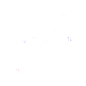 Cc1cncc(-c2cncc(CO)c2)c1